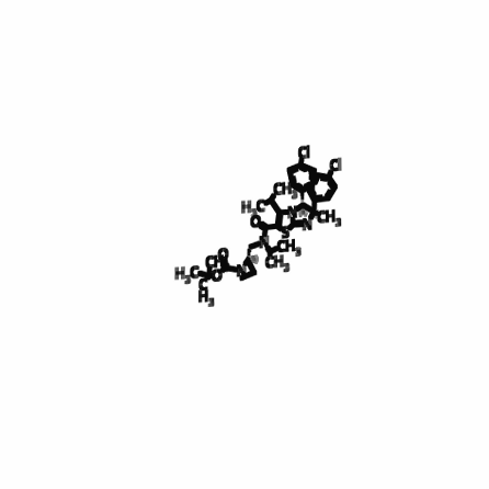 CC(C)C1=C(C(=O)N(C[C@@H]2CCN2C(=O)OC(C)(C)C)C(C)C)SC2=N[C@@](C)(c3ccc(Cl)cc3)[C@@H](c3ccc(Cl)cc3)N21